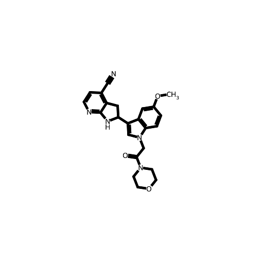 COc1ccc2c(c1)c(C1Cc3c(C#N)ccnc3N1)cn2CC(=O)N1CCOCC1